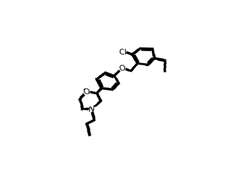 CCCN1CCOC(c2ccc(OCc3cc(CC)ccc3Cl)cc2)C1